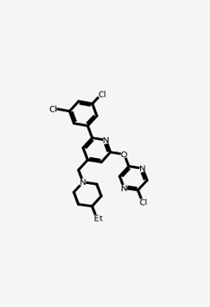 CCC1CCN(Cc2cc(Oc3cnc(Cl)cn3)nc(-c3cc(Cl)cc(Cl)c3)c2)CC1